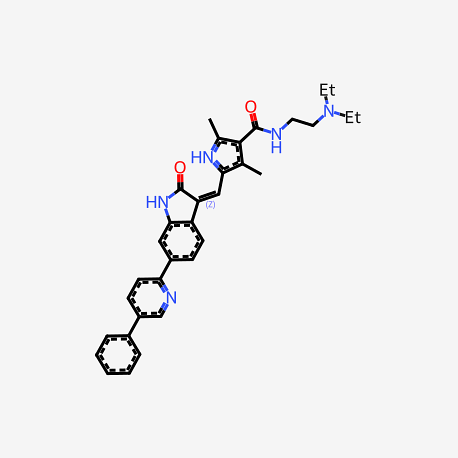 CCN(CC)CCNC(=O)c1c(C)[nH]c(/C=C2\C(=O)Nc3cc(-c4ccc(-c5ccccc5)cn4)ccc32)c1C